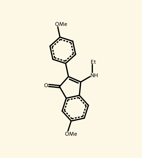 CCNC1=C(c2ccc(OC)cc2)C(=O)c2cc(OC)ccc21